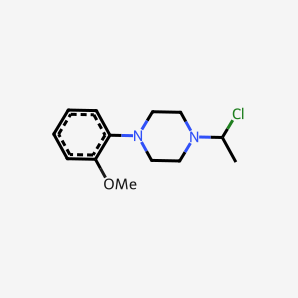 COc1ccccc1N1CCN(C(C)Cl)CC1